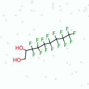 OCC(O)C(F)(F)C(F)(F)C(F)(F)C(F)(F)C(F)(F)C(F)(F)C(F)(F)F